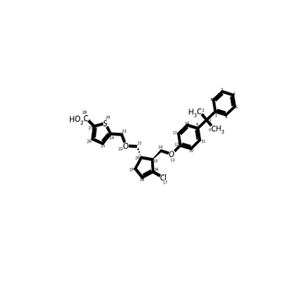 CC(C)(c1ccccc1)c1ccc(OC[C@H]2C(Cl)=CC[C@@H]2COCc2ccc(C(=O)O)s2)cc1